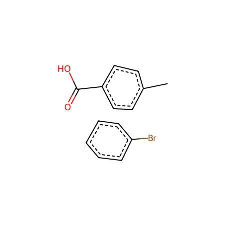 Brc1ccccc1.Cc1ccc(C(=O)O)cc1